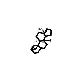 C=C[C@]12C=CCCC1CC[C@H]1[C@@H]3CCC[C@@]3(C)CC[C@@H]12